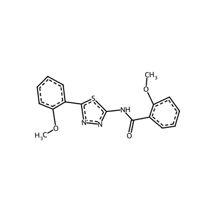 COc1ccccc1C(=O)Nc1nnc(-c2ccccc2OC)s1